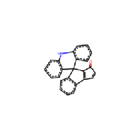 O=C1CC=CC2=C1C1(c3ccccc3Nc3ccccc31)c1ccccc12